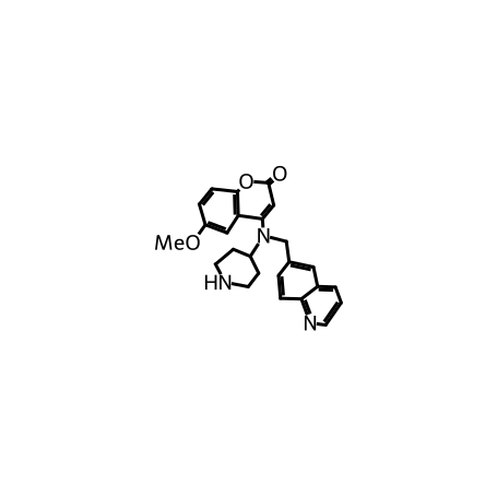 COc1ccc2oc(=O)cc(N(Cc3ccc4ncccc4c3)C3CCNCC3)c2c1